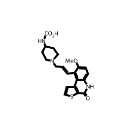 COc1ccc2[nH]c(=O)c3sccc3c2c1C=CCN1CCC(NC(=O)O)CC1